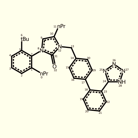 CCCc1cccc(C(C)(C)C)c1-n1cc(CCC)n(Cc2ccc(-c3ccccc3-c3nnn[nH]3)cc2)c1=O